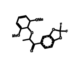 COC1=CC=CC(OC)C1OC(C)C(=O)c1ccc2c(c1)OC(F)(F)O2